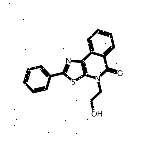 O=c1c2ccccc2c2nc(-c3ccccc3)sc2n1CCO